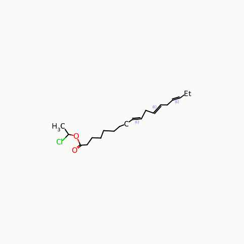 CC/C=C/C/C=C/C/C=C/CCCCCCCC(=O)OC(C)Cl